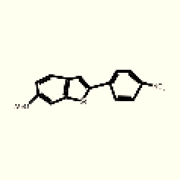 COc1ccc2cc(-c3ccc([N+](=O)[O-])cc3)[se]c2c1